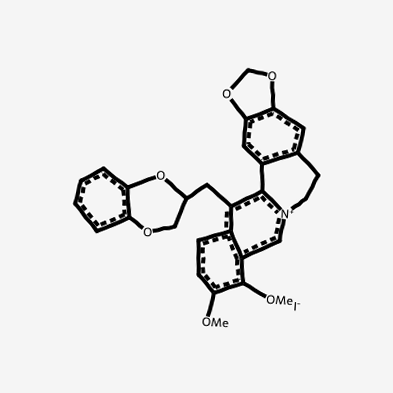 COc1ccc2c(CC3COc4ccccc4O3)c3[n+](cc2c1OC)CCc1cc2c(cc1-3)OCO2.[I-]